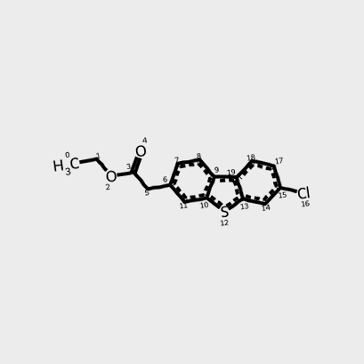 CCOC(=O)Cc1ccc2c(c1)sc1cc(Cl)ccc12